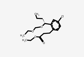 CCC[C@@H](OCOCC)c1cc(Cl)ccc1CCC(=O)OCC